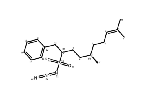 CC(C)=CCC[C@@H](C)CCN(Cc1ccccc1)S(=O)(=O)N=[N+]=[N-]